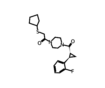 O=C(CSC1CCCC1)N1CCN(C(=O)[C@@H]2C[C@H]2c2ccccc2F)CC1